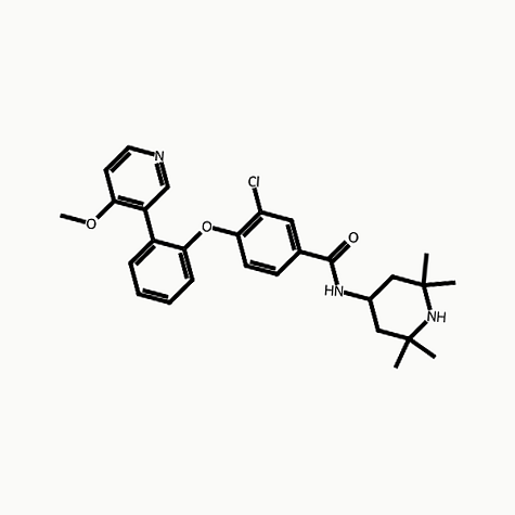 COc1ccncc1-c1ccccc1Oc1ccc(C(=O)NC2CC(C)(C)NC(C)(C)C2)cc1Cl